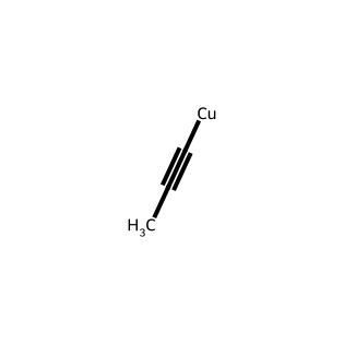 CC#[C][Cu]